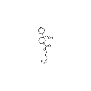 CCCCOC(=O)N1CCCC(CO)(c2ccccc2)C1